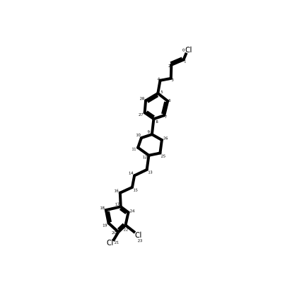 Cl/C=C/CCc1ccc(C2CCC(CCCCc3ccc(Cl)c(Cl)c3)CC2)cc1